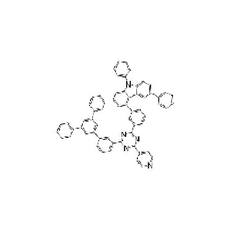 c1ccc(-c2cc(-c3ccccc3)cc(-c3cccc(-c4nc(-c5ccncc5)nc(-c5cccc(-c6cccc7c6c6cc(-c8ccccc8)ccc6n7-c6ccccc6)c5)n4)c3)c2)cc1